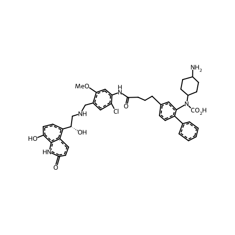 COc1cc(NC(=O)CCCc2ccc(-c3ccccc3)c(N(C(=O)O)C3CCC(N)CC3)c2)c(Cl)cc1CNC[C@H](O)c1ccc(O)c2[nH]c(=O)ccc12